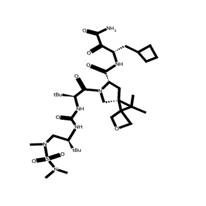 CN(C)S(=O)(=O)N(C)C[C@@H](NC(=O)N[C@H](C(=O)N1C[C@]2(C[C@H]1C(=O)N[C@@H](CC1CCC1)C(=O)C(N)=O)C(C)(C)C21COC1)C(C)(C)C)C(C)(C)C